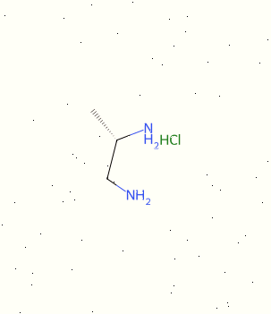 C[C@H](N)CN.Cl